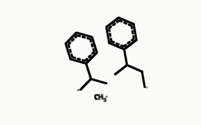 [CH2]C(C)c1ccccc1.[CH2]CC(C)c1ccccc1.[CH3]